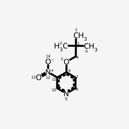 CC(C)(C)COc1ccncc1[N+](=O)[O-]